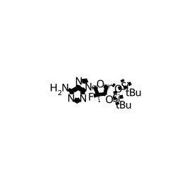 CC(C)(C)[Si](C)(C)OC[C@H]1O[C@@H](n2cnc3c(N)ncnc32)[C@](C)(F)C1O[Si](C)(C)C(C)(C)C